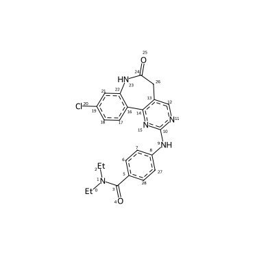 CCN(CC)C(=O)c1ccc(Nc2ncc3c(n2)-c2ccc(Cl)cc2NC(=O)C3)cc1